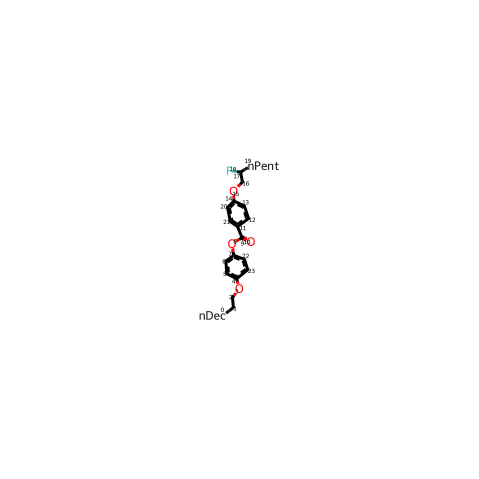 CCCCCCCCCCCCOc1ccc(OC(=O)c2ccc(OCC(F)CCCCC)cc2)cc1